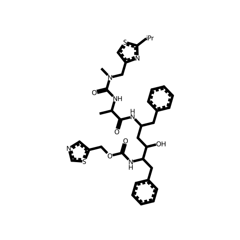 CC(NC(=O)N(C)Cc1csc(C(C)C)n1)C(=O)NC(Cc1ccccc1)CC(O)C(Cc1ccccc1)NC(=O)OCc1cncs1